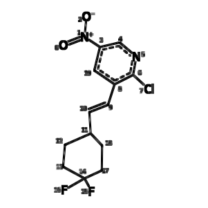 O=[N+]([O-])c1cnc(Cl)c(/C=C/C2CCC(F)(F)CC2)c1